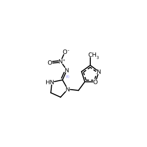 Cc1cc(CN2CCN/C2=N\[N+](=O)[O-])on1